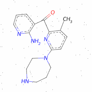 Cc1ccc(N2CCCNCC2)nc1C(=O)c1cccnc1N